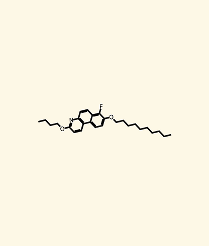 CCCCCCCCCCOc1ccc2c(ccc3nc(OCCCC)ccc32)c1F